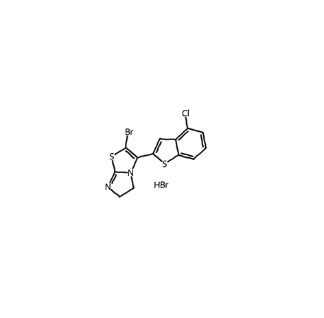 Br.Clc1cccc2sc(C3=C(Br)SC4=NCCN43)cc12